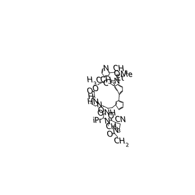 C=CC(=O)N1CC[C@@](C#N)(C(=O)N(C)C(C(=O)N[C@H]2Cc3cccc(c3)-c3ccc4c(c3)c(c(-c3cccnc3[C@H](C)OC)n4CC)CC(C)(C)COC(=O)[C@@H]3CCCN(N3)C2=O)C(C)C)C1